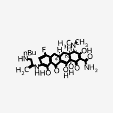 C=C(CNCCCC)Nc1cc(F)c2c(c1O)C(=O)C1=C(O)[C@]3(O)C(=O)C(C(N)=O)=C(O)[C@@H](N(C)C)[C@@H]3C[C@@H]1C2